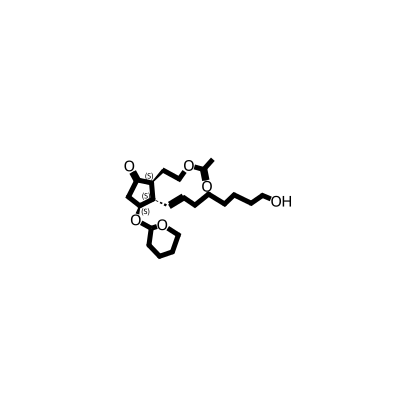 CC(=O)OCC[C@@H]1C(=O)C[C@H](OC2CCCCO2)[C@H]1C=CCCCCCCO